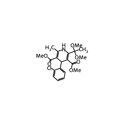 COC(=O)C1=C(C)NC(C(C)(OC)OC)=C(C(=O)OC)C1c1ccccc1Cl